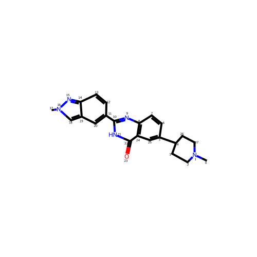 CN1CCC(c2ccc3nc(-c4ccc5nn(C)cc5c4)[nH]c(=O)c3c2)CC1